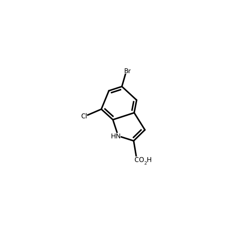 O=C(O)c1cc2cc(Br)cc(Cl)c2[nH]1